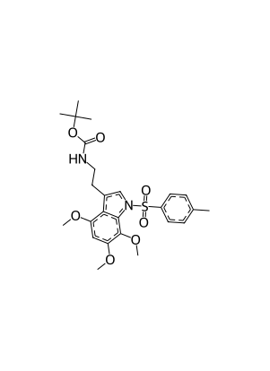 COc1cc(OC)c2c(CCNC(=O)OC(C)(C)C)cn(S(=O)(=O)c3ccc(C)cc3)c2c1OC